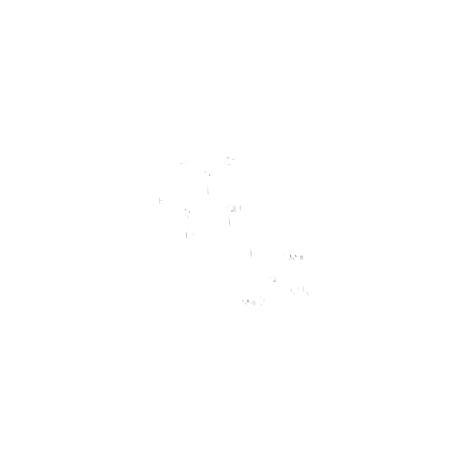 CCN(CC)C([SiH2]CCC[Si](C)(OC)OC)N(CC)CC